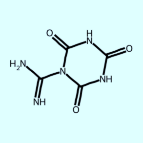 N=C(N)n1c(=O)[nH]c(=O)[nH]c1=O